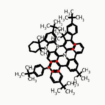 CC(C)(C)c1ccc(N(c2ccc(C(C)(C)C)cc2)c2cc3c4c(c2)N2c5c(cc(C(C)(C)C)cc5C5(C)CCCCC25C)B4c2c(ccc4c2C(C)(C)c2cc(C(C)(C)C)ccc2-4)N3c2c(-c3ccccc3)cc(C(C)(C)C)cc2-c2ccccc2)cc1